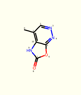 Cc1cnnc2oc(=O)[nH]c12